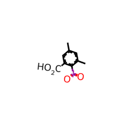 Cc1cc(C)c(I(=O)=O)c(C(=O)O)c1